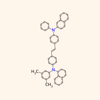 Cc1cc(C)cc(N(c2ccc(/C=C/c3ccc(N(c4ccccc4)c4ccc5ccccc5c4)cc3)cc2)c2cccc3ccccc23)c1